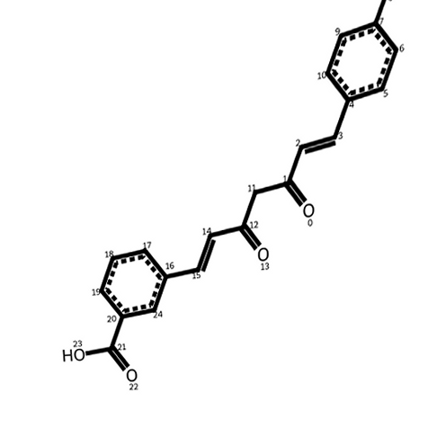 O=C(/C=C/c1ccc(O)cc1)CC(=O)/C=C/c1cccc(C(=O)O)c1